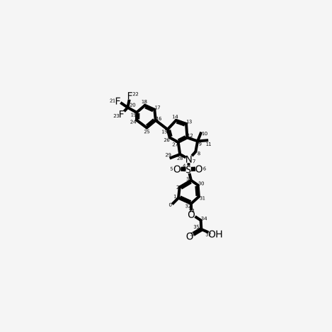 Cc1cc(S(=O)(=O)N2CC(C)(C)c3ccc(-c4ccc(C(F)(F)F)cc4)cc3C2C)ccc1OCC(=O)O